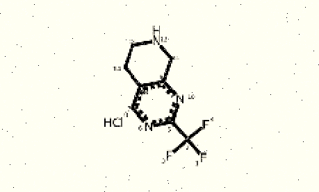 Cl.FC(F)(F)c1ncc2c(n1)CNCC2